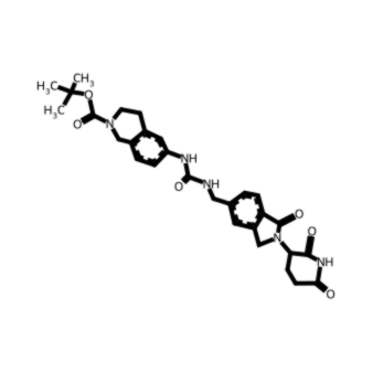 CC(C)(C)OC(=O)N1CCc2cc(NC(=O)NCc3ccc4c(c3)CN(C3CCC(=O)NC3=O)C4=O)ccc2C1